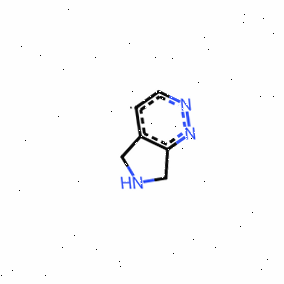 [c]1cnnc2c1CNC2